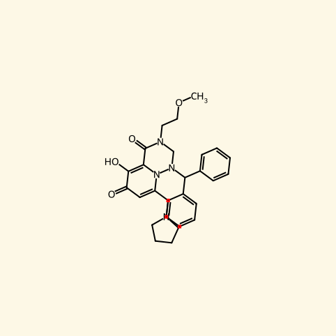 COCCN1CN(C(c2ccccc2)c2ccccc2)n2c(CN3CCCC3)cc(=O)c(O)c2C1=O